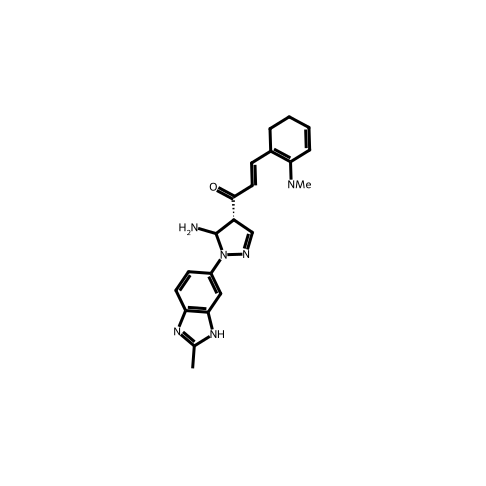 CNC1=C(/C=C/C(=O)[C@@H]2C=NN(c3ccc4nc(C)[nH]c4c3)C2N)CCC=C1